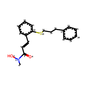 CN(O)C(=O)C=Cc1ccccc1SCCCc1ccccc1